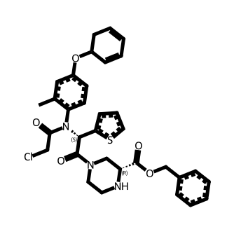 Cc1cc(OC2C=CC=CC2)ccc1N(C(=O)CCl)[C@@H](C(=O)N1CCN[C@@H](C(=O)OCc2ccccc2)C1)c1cccs1